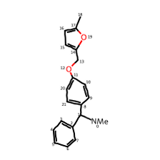 CNC(c1ccccc1)c1ccc(OCc2ccc(C)o2)cc1